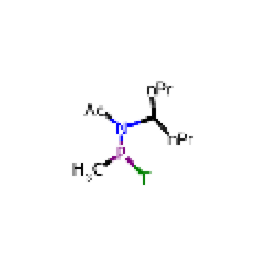 CCCC(CCC)N(C(C)=O)P(C)F